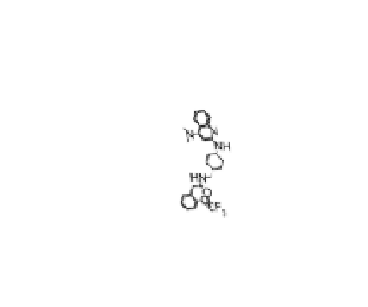 CN(C)c1cc(N[C@H]2CC[C@@H](CNC(=O)Cc3ccccc3OC(F)(F)F)CC2)nc2ccccc12